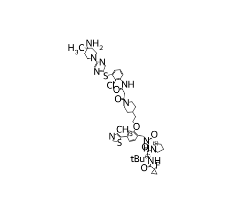 Cc1ncsc1-c1ccc(CNC(=O)[C@@H]2CCCN2C(=O)[C@@H](NC(=O)C2(F)CC2)C(C)(C)C)c(OCCC2CCN(C(=O)CC(=O)Nc3cccc(Sc4cnc(N5CCC(C)(N)CC5)cn4)c3Cl)CC2)c1